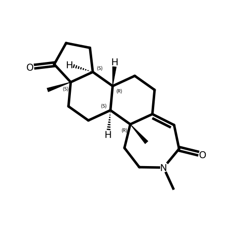 CN1CC[C@@]2(C)C(=CC1=O)CC[C@@H]1[C@@H]2CC[C@]2(C)C(=O)CC[C@@H]12